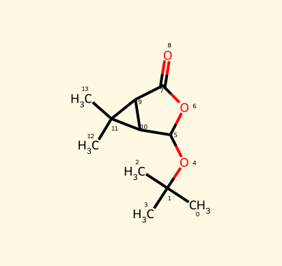 CC(C)(C)OC1OC(=O)C2C1C2(C)C